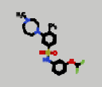 Cc1ccc(S(=O)(=O)Nc2cccc(OC(F)F)c2)cc1N1CCCN(C)CC1